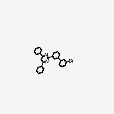 Brc1cccc(-c2cccc(-c3nc(-c4ccccc4)cc(-c4ccccc4)n3)c2)c1